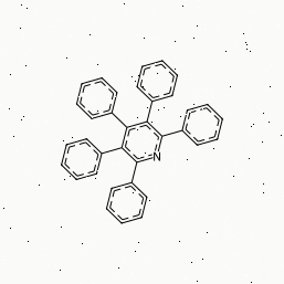 c1ccc(-c2nc(-c3ccccc3)c(-c3ccccc3)c(-c3ccccc3)c2-c2ccccc2)cc1